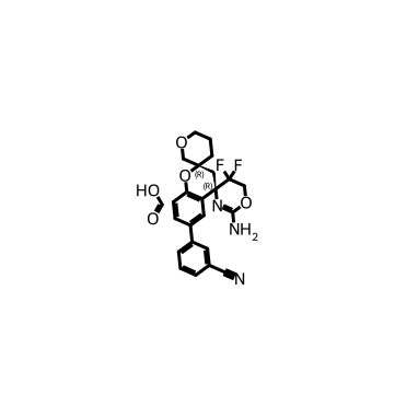 N#Cc1cccc(-c2ccc3c(c2)[C@@]2(C[C@@]4(CCCOC4)O3)N=C(N)OCC2(F)F)c1.O=CO